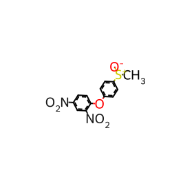 C[S+]([O-])c1ccc(Oc2ccc([N+](=O)[O-])cc2[N+](=O)[O-])cc1